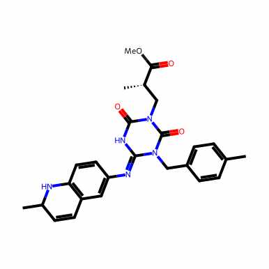 COC(=O)[C@@H](C)Cn1c(=O)[nH]/c(=N\c2ccc3c(c2)C=CC(C)N3)n(Cc2ccc(C)cc2)c1=O